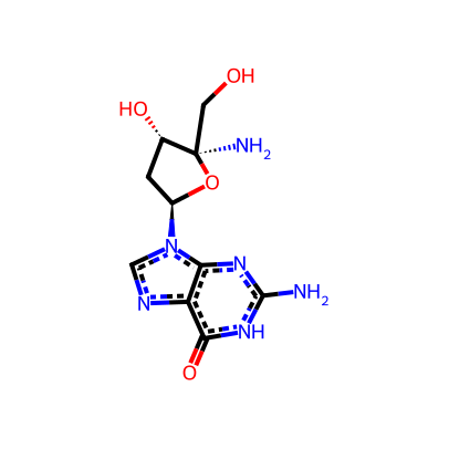 Nc1nc2c(ncn2[C@H]2C[C@H](O)[C@@](N)(CO)O2)c(=O)[nH]1